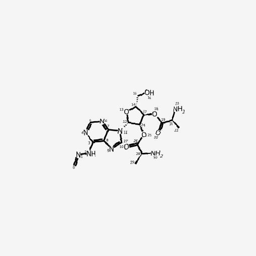 C=NNc1ncnc2c1ncn2[C@@H]1O[C@H](CO)[C@@H](OC(=O)[C@H](C)N)[C@H]1OC(=O)[C@H](C)N